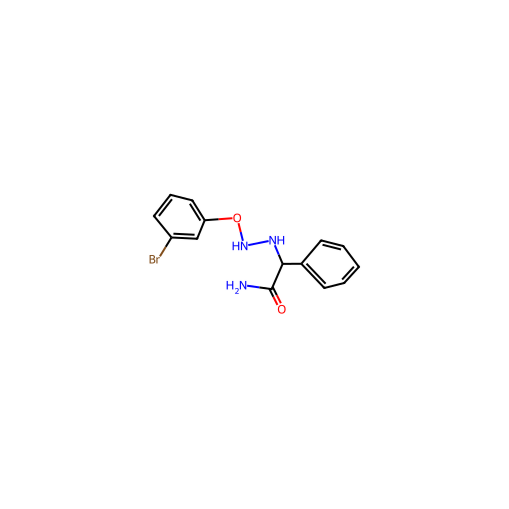 NC(=O)C(NNOc1cccc(Br)c1)c1ccccc1